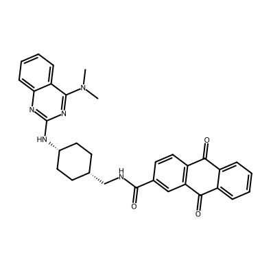 CN(C)c1nc(N[C@H]2CC[C@@H](CNC(=O)c3ccc4c(c3)C(=O)c3ccccc3C4=O)CC2)nc2ccccc12